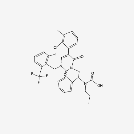 CCCN(C(=O)O)C(Cn1c(=O)c(-c2cccc(C)c2Cl)cn(Cc2c(F)cccc2C(F)(F)F)c1=O)c1ccccc1